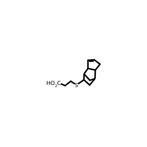 O=C(O)CCSC1CC2CC1C1C=CCC21